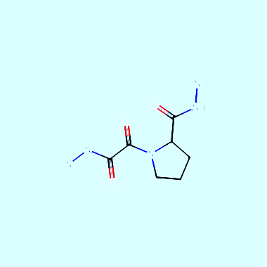 NNC(=O)C(=O)N1CCCC1C(=O)NN